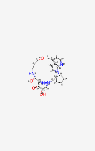 O=C1NCCCOCc2ccnc3c2ccn3C2(CCCC2)Cn2cc(O)c(=O)c1n2